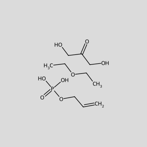 C=CCOP(=O)(O)O.CCOCC.O=C(CO)CO